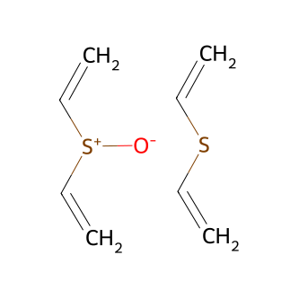 C=CSC=C.C=C[S+]([O-])C=C